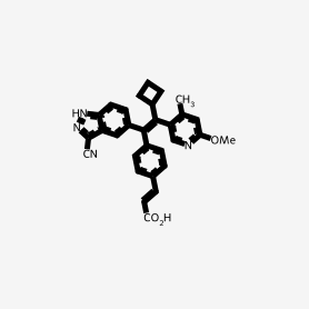 COc1cc(C)c(/C(=C(\c2ccc(/C=C/C(=O)O)cc2)c2ccc3[nH]nc(C#N)c3c2)C2CCC2)cn1